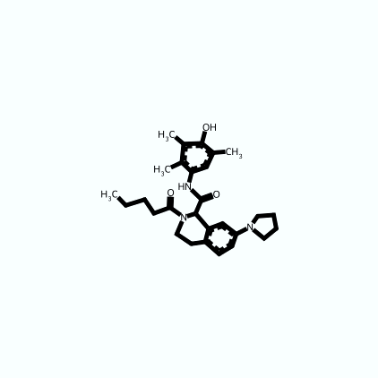 CCCCC(=O)N1CCc2ccc(N3CCCC3)cc2C1C(=O)Nc1cc(C)c(O)c(C)c1C